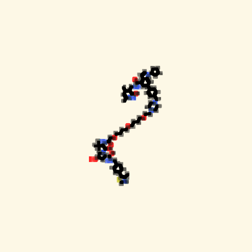 Cc1cc(C)c(CNC(=O)c2cc(-c3ccc(CN4CCN(CCOCCCCOCCCCOCC(=O)NC(C(=O)N5C[C@H](O)C[C@H]5C(=O)NCc5ccc(-c6scnc6C)cc5)C(C)(C)C)CC4)cc3)cc3c2ccn3C2CCCC2)c(=O)[nH]1